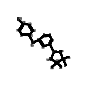 CC1(C)OB(c2cccc(Oc3ccc(F)cc3)c2)OC1(C)C